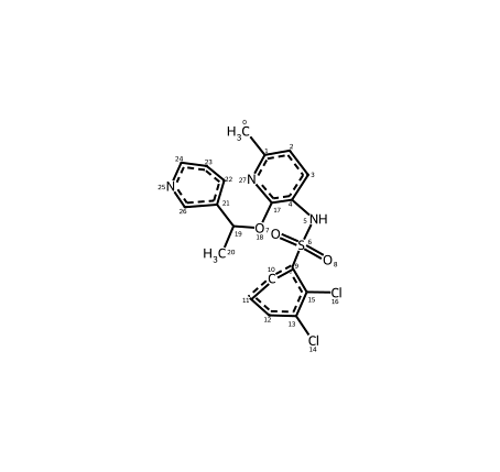 Cc1ccc(NS(=O)(=O)c2cccc(Cl)c2Cl)c(OC(C)c2cccnc2)n1